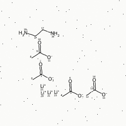 CC(=O)[O-].CC(=O)[O-].CC(=O)[O-].CC(=O)[O-].NCCN.[Li+].[Li+].[Li+].[Li+]